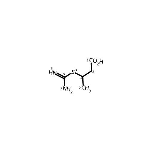 CC(CC(=O)O)SC(=N)N